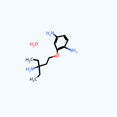 CCC(N)(CC)CCOc1cc(N)ccc1N.O